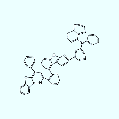 C1=CC(c2cc(-c3ccccc3)c3oc4ccccc4c3n2)=C(C2=c3c(oc4cc(-c5cccc(N(c6ccccc6)c6cccc7ccccc67)c5)ccc34)=CCC2)CC1